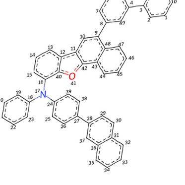 c1ccc(-c2cccc(-c3cc4c5cccc(N(c6ccccc6)c6ccc(-c7ccc8ccccc8c7)cc6)c5oc4c4ccccc34)c2)cc1